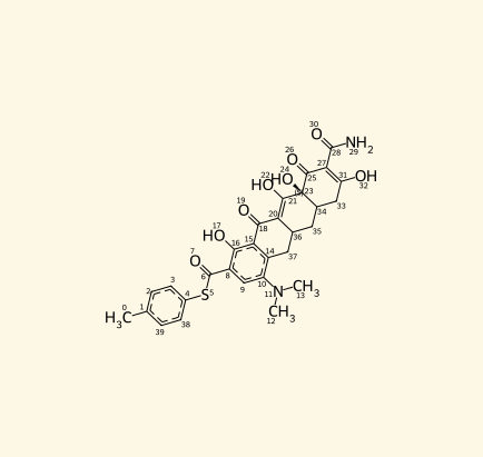 Cc1ccc(SC(=O)c2cc(N(C)C)c3c(c2O)C(=O)C2=C(O)[C@]4(O)C(=O)C(C(N)=O)=C(O)CC4CC2C3)cc1